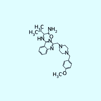 COc1ccc(CN2CCN(Cc3nc(N[C@H](C(N)=O)C(C)C)c4ccccc4n3)CC2)cc1